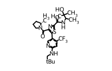 CC(NC(=O)c1nc(C(=O)N2CCC[C@@H]2C)c(-c2cnc(NCC(C)(C)C)cc2C(F)(F)F)s1)C(C)(C)O